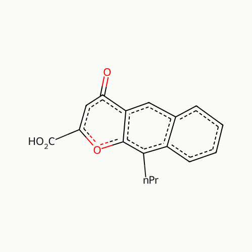 CCCc1c2ccccc2cc2c(=O)cc(C(=O)O)oc12